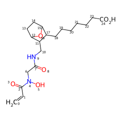 C=CC(=O)N(O)CC(=O)NCC1C2CCC(O2)C1CCCCCCC(=O)O